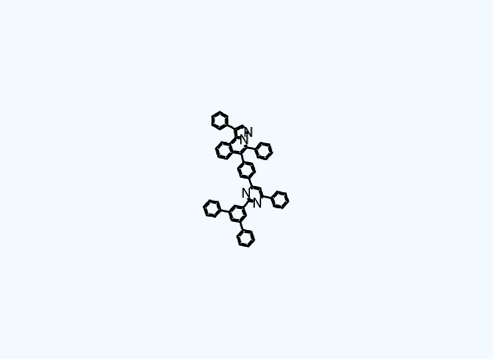 c1ccc(-c2cc(-c3ccccc3)cc(-c3nc(-c4ccccc4)cc(-c4ccc(-c5c(-c6ccccc6)n6ncc(-c7ccccc7)c6c6ccccc56)cc4)n3)c2)cc1